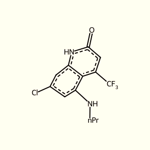 CCCNc1cc(Cl)cc2[nH]c(=O)cc(C(F)(F)F)c12